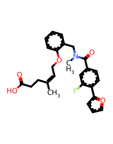 CC(=CCOc1ccccc1CN(C)C(=O)c1ccc(-c2ccco2)c(F)c1)CCC(=O)O